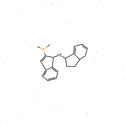 CP(C)C1=Cc2ccccc2[CH]1[Hf][CH]1CCC2CC=CC=C21